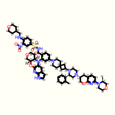 Cc1ccccc1[C@@H]1CN([C@H]2COc3nc(N4CCOC[C@@H]4C)ccc3C2)CCN1C1CC2(CCN(c3ccc(C(=O)NS(=O)(=O)c4ccc(NCC5CCOCC5)c([N+](=O)[O-])c4)c(N4c5cc6cc[nH]c6nc5O[C@H]5COCC[C@@H]54)c3)CC2)C1